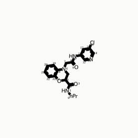 CCCNC(=O)C1CN(CC(=O)Nc2cncc(Cl)c2)c2ccccc2O1